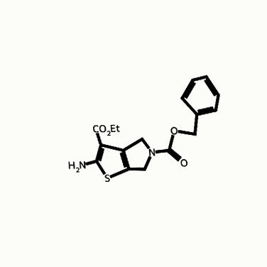 CCOC(=O)c1c(N)sc2c1CN(C(=O)OCc1ccccc1)C2